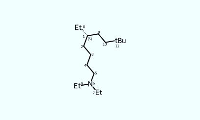 CC[C@@H](CCCCN(CC)CC)CCC(C)(C)C